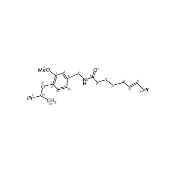 COc1cc(CNC(=O)CCCC/C=C/C(C)C)ccc1OC(C)C(C)C